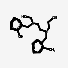 Cc1ccccc1CN(CCO)CCN(CO)Cc1ccccc1O